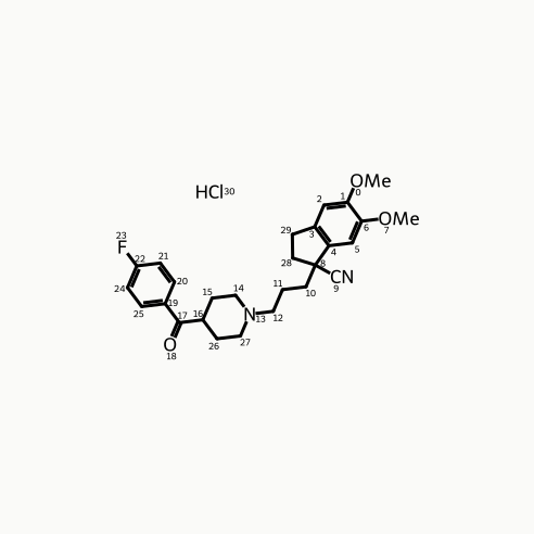 COc1cc2c(cc1OC)C(C#N)(CCCN1CCC(C(=O)c3ccc(F)cc3)CC1)CC2.Cl